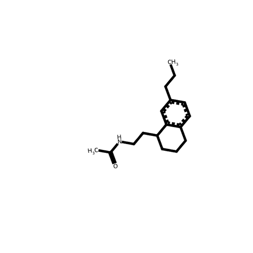 CCCc1ccc2c(c1)C(CCNC(C)=O)CCC2